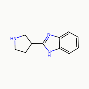 c1ccc2[nH]c(C3CCNC3)nc2c1